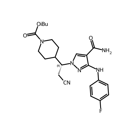 CC(C)COC(=O)N1CCC([C@@H](CC#N)n2cc(C(N)=O)c(Nc3ccc(F)cc3)n2)CC1